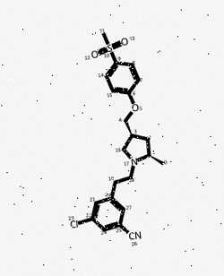 C[C@@H]1C[C@H](COc2ccc(S(C)(=O)=O)cc2)CN1CCc1cc(Cl)cc(C#N)c1